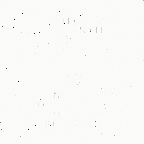 CN(C)C(=O)c1cccc2c1C(=O)CC1(CCN(C(=O)OC(C)(C)C)CC1)O2